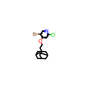 Clc1cc(OCCC23CC4CC(CC(C4)C2)C3)c(Br)cn1